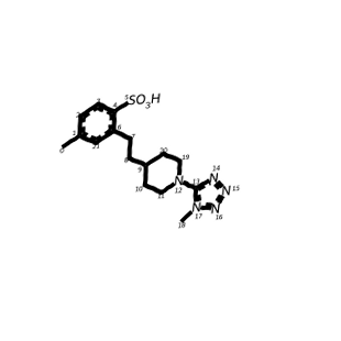 Cc1ccc(S(=O)(=O)O)c(CCC2CCN(c3nnnn3C)CC2)c1